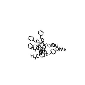 COc1ccc(Cc2cn([C@@]3([SiH](C)C)O[C@H](COC(C)(C)C)[C@@H](OCc4ccccc4)[C@H](OCc4ccccc4)[C@H]3OCc3ccccc3)c3cc(C)ccc23)cc1